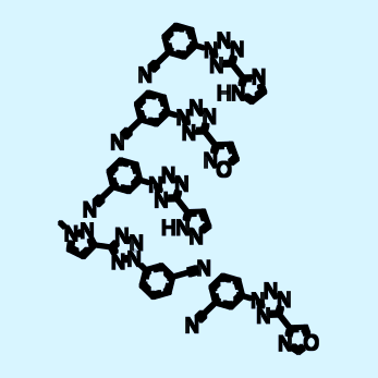 Cn1ccc(-c2nnn(-c3cccc(C#N)c3)n2)n1.N#Cc1cccc(-n2nnc(-c3ccn[nH]3)n2)c1.N#Cc1cccc(-n2nnc(-c3ccon3)n2)c1.N#Cc1cccc(-n2nnc(-c3cocn3)n2)c1.N#Cc1cccc(-n2nnc(-c3ncc[nH]3)n2)c1